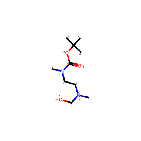 CN(CO)CCN(C)C(=O)OC(C)(C)C